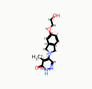 Cc1c(N2Cc3ccc(OCCO)cc3C2)cn[nH]c1=O